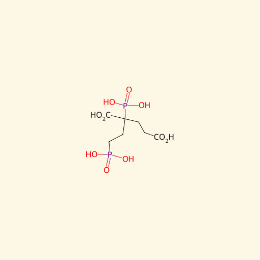 O=C(O)CCC(CCP(=O)(O)O)(C(=O)O)P(=O)(O)O